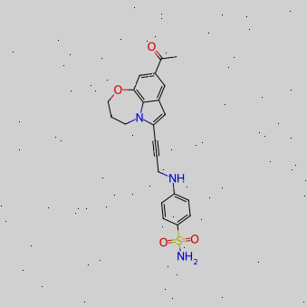 CC(=O)c1cc2c3c(c1)cc(C#CCNc1ccc(S(N)(=O)=O)cc1)n3CCCO2